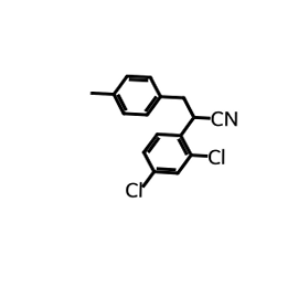 Cc1ccc(CC(C#N)c2ccc(Cl)cc2Cl)cc1